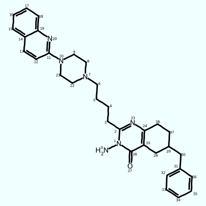 Nn1c(CCCCN2CCN(c3ccc4ccccc4n3)CC2)nc2c(c1=O)CC(Cc1ccccc1)CC2